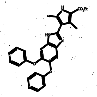 CCOC(=O)c1[nH]c(C)c(-c2nc3cc(Sc4ccncc4)c(Oc4ccccc4)cc3[nH]2)c1C